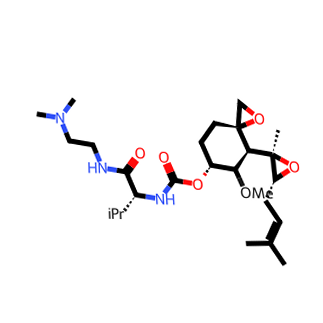 COC1[C@H](OC(=O)N[C@@H](C(=O)NCCN(C)C)C(C)C)CC[C@]2(CO2)[C@H]1[C@@]1(C)O[C@@H]1CC=C(C)C